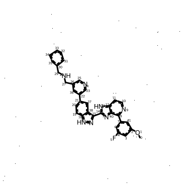 COc1cc(F)cc(-c2nccc3[nH]c(-c4n[nH]c5ccc(-c6cncc(CNCc7ccccc7)c6)cc45)nc23)c1